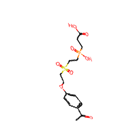 CC(=O)c1ccc(OCCS(=O)(=O)CCP(=O)(O)CCC(=O)O)cc1